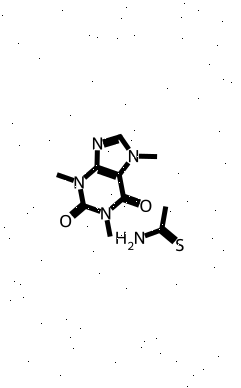 CC(N)=S.Cn1c(=O)c2c(ncn2C)n(C)c1=O